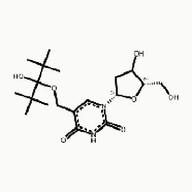 CC(C)(C)C(O)(OCc1cn([C@@H]2CC(O)[C@H](CO)O2)c(=O)[nH]c1=O)C(C)(C)C